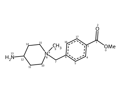 COC(=O)c1ccc(C[N+]2(C)CCC(N)CC2)cc1